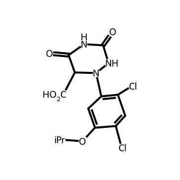 CC(C)Oc1cc(N2NC(=O)NC(=O)C2C(=O)O)c(Cl)cc1Cl